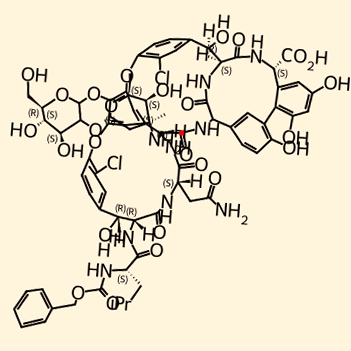 CC(C)C[C@H](NC(=O)OCc1ccccc1)C(=O)N[C@H]1C(=O)N[C@@H](CC(N)=O)C(=O)N[C@H]2C(=O)NC3C(=O)N[C@H](C(=O)N[C@H](C(=O)O)c4cc(O)cc(O)c4-c4cc3ccc4O)[C@H](O)c3ccc(c(Cl)c3)Oc3cc2cc(c3OC2O[C@H](CO)[C@@H](O)[C@H](O)C2O[C@H]2C[C@](C)(N)[C@H](O)[C@H](C)O2)Oc2ccc(cc2Cl)[C@H]1O